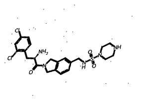 N[C@H](Cc1ccc(Cl)cc1Cl)C(=O)N1Cc2ccc(CNS(=O)(=O)N3CCNCC3)cc2C1